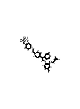 NS(=O)(=O)C[C@H]1CC[C@H](CCN2CCC(c3cn(-c4ccc(F)cc4OCC4CC4)c4cnccc34)CC2)CC1